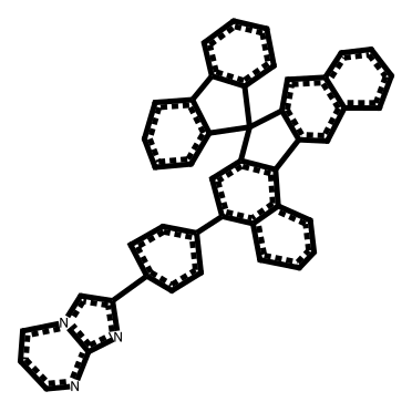 c1ccc2c(c1)-c1ccccc1C21c2cc3ccccc3cc2-c2c1cc(-c1ccc(-c3cn4cccnc4n3)cc1)c1ccccc21